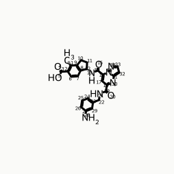 Cc1c(C(=O)O)ccc2c1CC[C@@H]2NC(=O)c1cc(C(=O)NCc2cccc(N)c2)nc2ccnn12